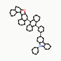 c1ccc(-n2c3ccccc3c3cc(-c4cccc(-c5c6ccccc6c(-c6cc7oc8ccc9ccccc9c8c7c7ccccc67)c6ccccc56)c4)ccc32)cc1